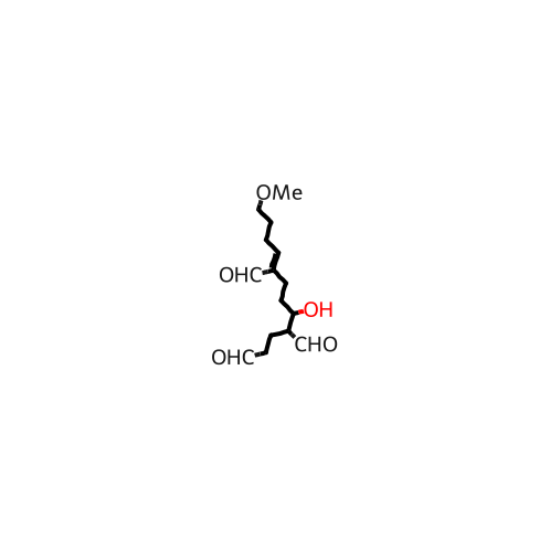 COCCC/C=C(\C=O)CCC(O)C(C=O)CCC=O